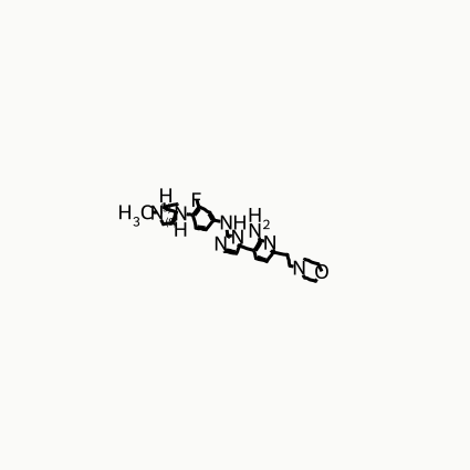 CN1C[C@@H]2C[C@H]1CN2c1ccc(Nc2nccc(-c3ccc(CCN4CCOCC4)nc3N)n2)cc1F